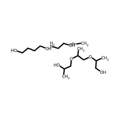 CC(O)COC(C)COC(C)CO.CCCC.NCCO.OCCCCO